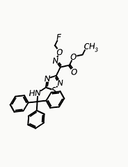 CCOC(=O)C(=NOCF)c1nsc(NC(c2ccccc2)(c2ccccc2)c2ccccc2)n1